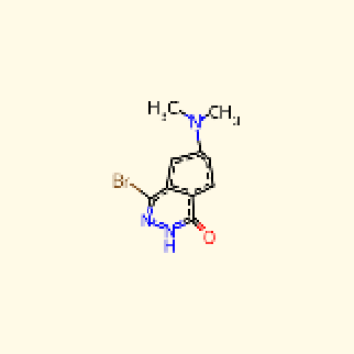 CN(C)c1ccc2c(=O)[nH]nc(Br)c2c1